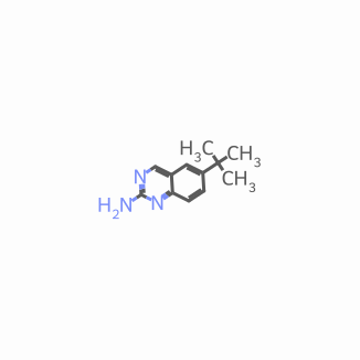 CC(C)(C)c1ccc2nc(N)ncc2c1